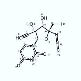 C#C[C@]1(O)[C@H](n2ccc(=O)[nH]c2=O)O[C@@](CI)(N=[N+]=[N-])[C@H]1O